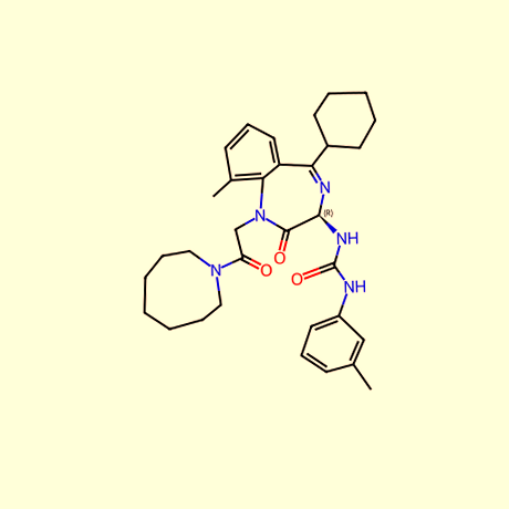 Cc1cccc(NC(=O)N[C@@H]2N=C(C3CCCCC3)c3cccc(C)c3N(CC(=O)N3CCCCCCC3)C2=O)c1